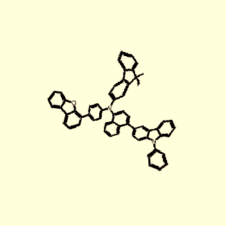 CC1(C)c2ccccc2-c2ccc(N(c3ccc(-c4cccc5c4oc4ccccc45)cc3)c3ccc(-c4ccc5c(c4)c4ccccc4n5-c4ccccc4)c4ccccc34)cc21